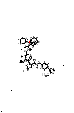 Cc1ncsc1-c1ccc(CNC(=O)C2CC(O)CN2C(=O)C(NC(=O)CNC(=O)C23CC4CC(C2)CC2(OOC5(CCCCC5)O2)C(C4)C3)C(C)(C)C)cc1